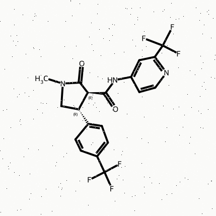 CN1C[C@@H](c2ccc(C(F)(F)F)cc2)[C@H](C(=O)Nc2ccnc(C(F)(F)F)c2)C1=O